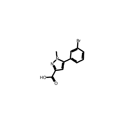 Cn1nc(C(=O)O)cc1-c1cccc(Br)c1